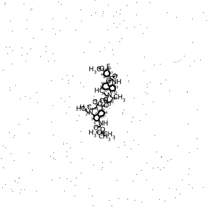 C#CCN(c1ccc(NC(=O)OC(C)(C)C)c2ccc(COC(=O)C[C@H](C)N(CC#C)c3ccc(NS(=O)(=O)c4ccc(OC)c(F)c4)c4ccccc34)cc12)[C@@H](C)CC(=O)OC